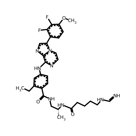 CCc1cc(Nc2nccn3c(-c4ccc(OC)c(F)c4F)cnc23)ccc1C(=O)NC[C@@H](C)NC(=O)CCCCNC=N